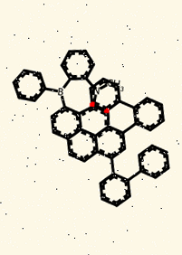 CN1c2ccccc2B(c2ccccc2)c2ccc3ccc4c(-c5ccccc5-c5ccccc5)cc(-c5ccccc5-c5ccccc5)c5cc1c2c3c45